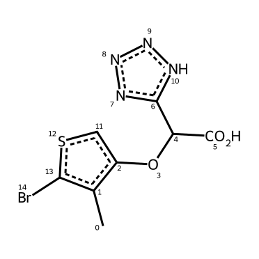 Cc1c(OC(C(=O)O)c2nnn[nH]2)csc1Br